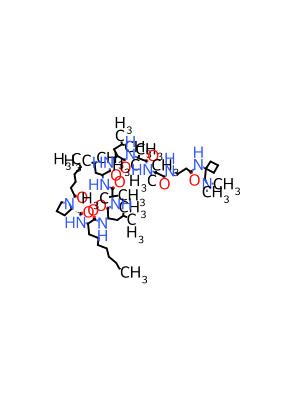 CCCCCCCCC(NC(=O)[C@@H]1CCCN1C(=O)CCCCC)C(=O)NC(CC(C)C)C(=O)NC(C)(C)C(=O)NC(CC(C)C)C(=O)NC(CC(C)C)C(=O)NC(C)(C)C(=O)NC(C)(C)C(=O)NCCC(=O)NC1(CN(C)C)CCC1